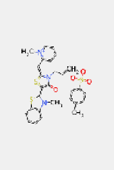 C=CCn1c(=O)/c(=C2/Sc3ccccc3N2C)s/c1=C/c1cccc[n+]1C.Cc1ccc(S(=O)(=O)[O-])cc1